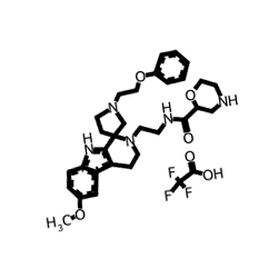 COc1ccc2[nH]c3c(c2c1)CCN(CCNC(=O)C1CNCCO1)C31CCN(CCOc2ccccc2)C1.O=C(O)C(F)(F)F